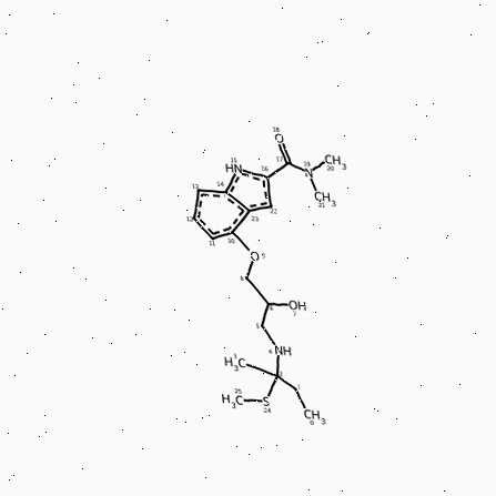 CCC(C)(NCC(O)COc1cccc2[nH]c(C(=O)N(C)C)cc12)SC